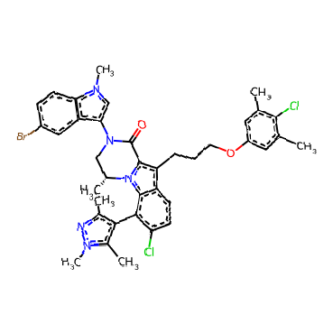 Cc1cc(OCCCc2c3n(c4c(-c5c(C)nn(C)c5C)c(Cl)ccc24)[C@H](C)CN(c2cn(C)c4ccc(Br)cc24)C3=O)cc(C)c1Cl